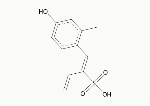 C=C/C(=C\c1ccc(O)cc1C)S(=O)(=O)O